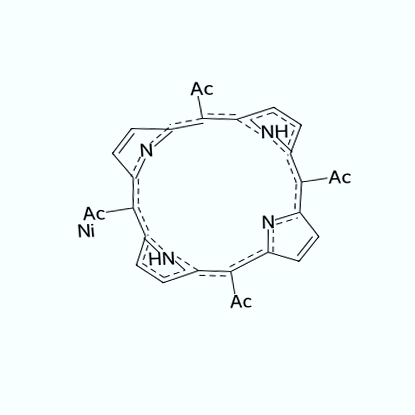 CC(=O)c1c2nc(c(C(C)=O)c3ccc([nH]3)c(C(C)=O)c3nc(c(C(C)=O)c4ccc1[nH]4)C=C3)C=C2.[Ni]